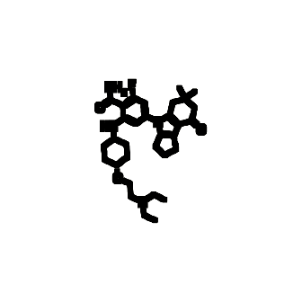 CCN(CC)CCO[C@H]1CC[C@H](Nc2cc(-n3c4c(c5c3CC(C)(C)CC5=O)CCC4)cc(F)c2C(N)=O)CC1